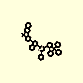 CC1(C)c2ccc(-c3ccc(-c4nc(-c5ccccc5)cc(-c5cccc6c5-c5ccccc5C6(c5ccccc5)c5ccccc5)n4)c4ccccc34)cc2-c2cc3ccccc3cc21